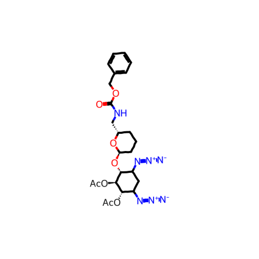 CC(=O)O[C@H]1[C@H](O[C@@H]2CCC[C@@H](CNC(=O)OCc3ccccc3)O2)C(N=[N+]=[N-])CC(N=[N+]=[N-])[C@@H]1OC(C)=O